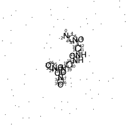 CN(C)C1CCN(C(=O)c2ccc(NC(=O)Nc3ccc(N4OC(N5CCOCC5)OC(N5CCOCC5)O4)cc3)cc2)CC1